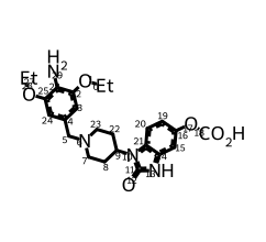 CCOc1cc(CN2CCC(n3c(=O)[nH]c4cc(OC(=O)O)ccc43)CC2)cc(OCC)c1N